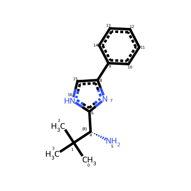 CC(C)(C)[C@@H](N)c1nc(-c2ccccc2)c[nH]1